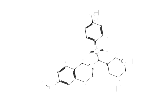 COc1ccc2c(c1)CCN(C(C1CCCNC1)S(=O)(=O)c1ccc(C)cc1)C2.Cl